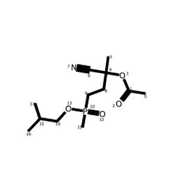 CC(=O)OC(C)(C#N)CCP(C)(=O)OCC(C)C